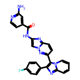 Nc1cc(C(=O)Nc2cn3nc(-c4c(-c5ccc(F)cc5)nc5ccccn45)ccc3n2)ccn1